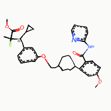 COC(=O)C(C)(F)[C@H](c1cccc(OCC2CCC(c3cc(OC)ccc3C(=O)Nc3ccccn3)CC2)c1)C1CC1